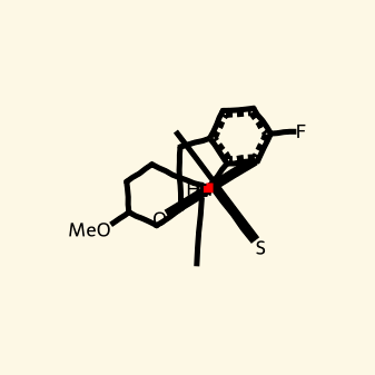 COC1CCC2(CC1)Cc1ccc(F)cc1C21NC(=S)N(C)C1=O